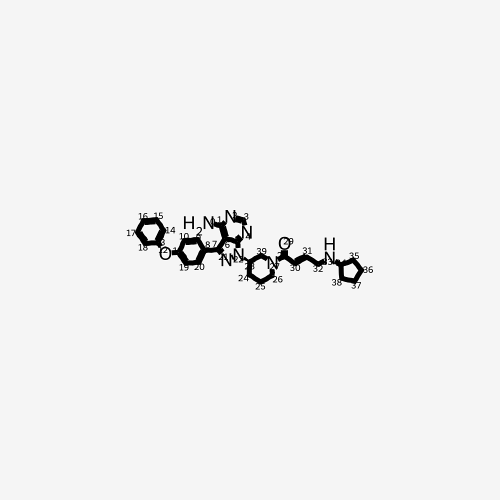 Nc1ncnc2c1c(-c1ccc(Oc3ccccc3)cc1)nn2[C@@H]1CCCN(C(=O)C=CCNC2CCCC2)C1